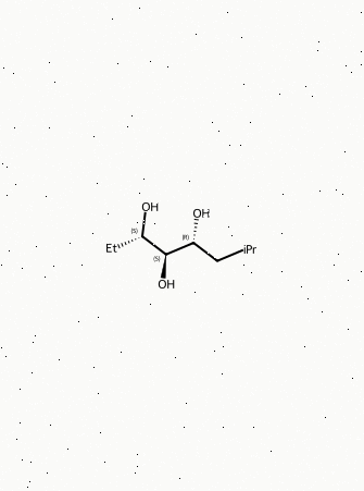 CC[C@H](O)[C@H](O)[C@H](O)CC(C)C